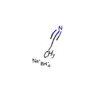 CC#N.[BH4-].[Na+]